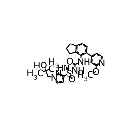 COc1cc(-c2ccc3c(c2NC(=O)NS(=N)(=O)c2ccn(CC(C)(C)O)n2)CCC3)ccn1